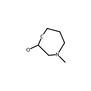 CN1CCCCC([O])C1